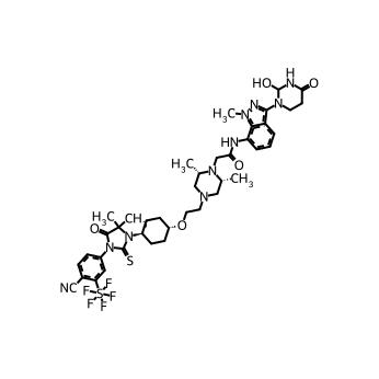 C[C@@H]1CN(CCO[C@H]2CC[C@H](N3C(=S)N(c4ccc(C#N)c(S(F)(F)(F)(F)F)c4)C(=O)C3(C)C)CC2)C[C@H](C)N1CC(=O)Nc1cccc2c(N3CCC(=O)NC3O)nn(C)c12